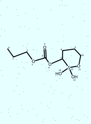 CCCOC(=O)OC1CCCOS1(O)O